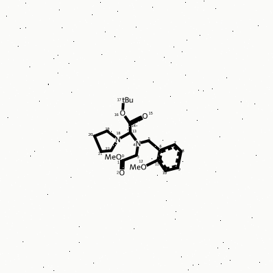 COC(=O)CN(Cc1ccccc1OC)C(C(=O)OC(C)(C)C)N1CCCC1